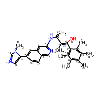 B/C(C(=C)Nc1cc2cc(-c3cncn3C)ccc2cn1)=C(/O)c1c(B)c(B)c(B)c(B)c1C